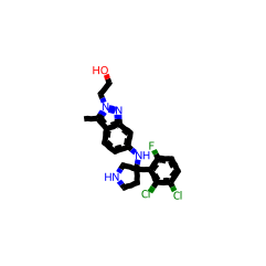 Cc1c2ccc(NC3(c4c(F)ccc(Cl)c4Cl)CCNC3)cc2nn1CCO